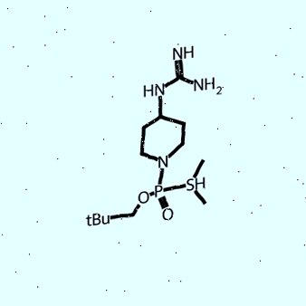 C[SH](C)P(=O)(OCC(C)(C)C)N1CCC(NC(=N)N)CC1